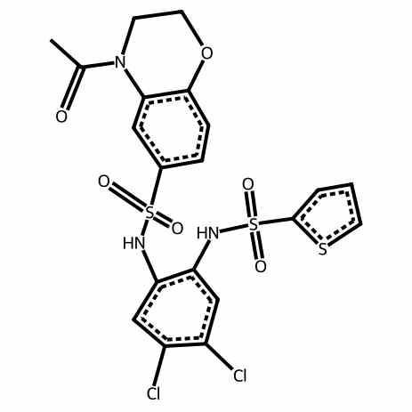 CC(=O)N1CCOc2ccc(S(=O)(=O)Nc3cc(Cl)c(Cl)cc3NS(=O)(=O)c3cccs3)cc21